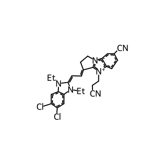 CCN1C(=CC=C2CCn3c2[n+](CCC#N)c2ccc(C#N)cc23)N(CC)c2cc(Cl)c(Cl)cc21